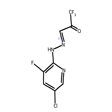 O=C(/C=N/Nc1ncc(Cl)cc1F)C(F)(F)F